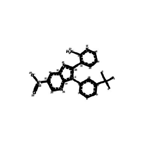 CC(C)(C)c1cccc(-n2c(-c3cccnc3N)nc3cc([N+](=O)[O-])cnc32)c1